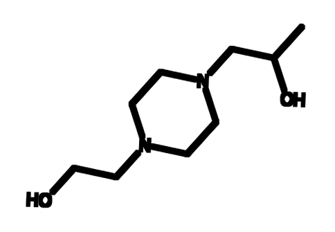 CC(O)CN1CCN(CCO)CC1